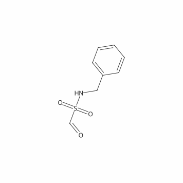 O=CS(=O)(=O)NCc1ccccc1